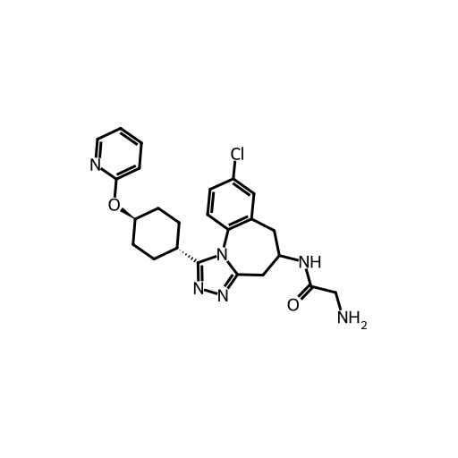 NCC(=O)NC1Cc2cc(Cl)ccc2-n2c(nnc2[C@H]2CC[C@H](Oc3ccccn3)CC2)C1